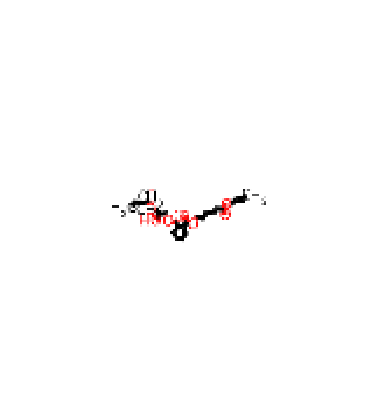 CCCCOC(=O)CCCCCOC(=O)C1CCCCC1C(=O)OCC(O)COC(=O)C(C)(C)CC